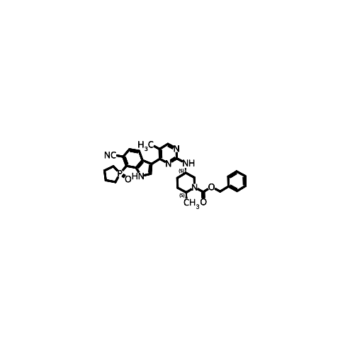 Cc1cnc(N[C@H]2CC[C@H](C)N(C(=O)OCc3ccccc3)C2)nc1-c1c[nH]c2c(P3(=O)CCCC3)c(C#N)ccc12